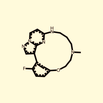 CN1CCCNc2ccn3ncc(c3n2)-c2cc(ccc2F)OCC1